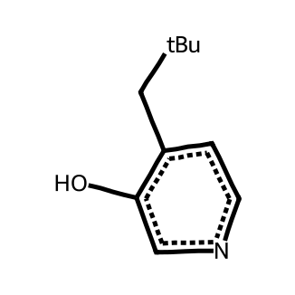 CC(C)(C)Cc1ccncc1O